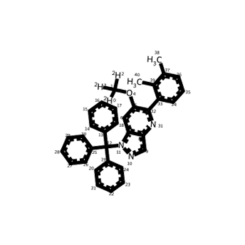 [2H]C([2H])([2H])Oc1cc2c(cnn2C(c2ccccc2)(c2ccccc2)c2ccccc2)nc1-c1cccc(C)c1C